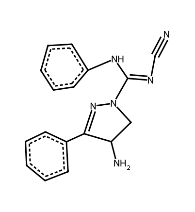 N#C/N=C(\Nc1ccccc1)N1CC(N)C(c2ccccc2)=N1